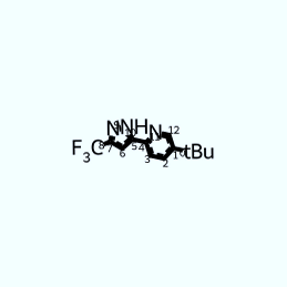 CC(C)(C)c1ccc(-c2cc(C(F)(F)F)n[nH]2)nc1